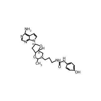 CC1OC2C[C@H](n3ccc4c(N)ncnc43)O[C@@H]2CN1CCCNC(=O)Nc1ccc(O)cc1